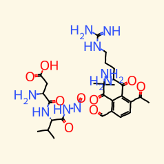 CC(=O)c1ccc(C=O)c(C(=O)C(C)(C)N)c1C(=O)[C@@H](N)CCCNC(=N)N.CC(C)[C@H](NC(=O)[C@@H](N)CC(=O)O)C(=O)NN=O